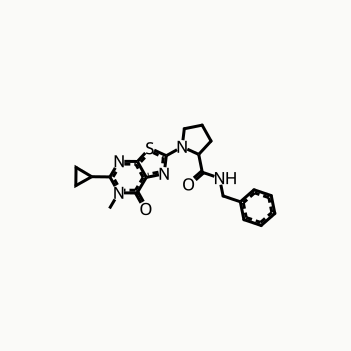 Cn1c(C2CC2)nc2sc(N3CCCC3C(=O)NCc3ccccc3)nc2c1=O